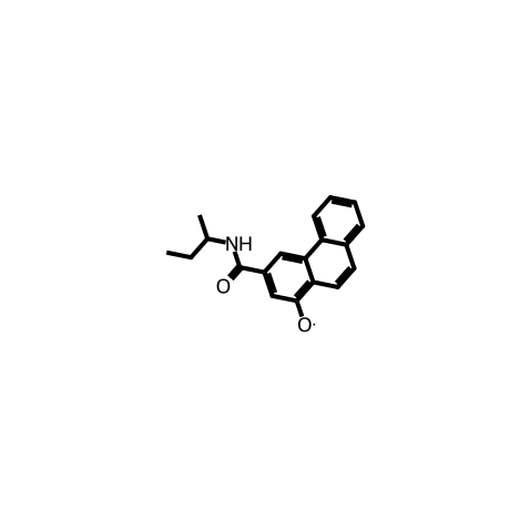 CCC(C)NC(=O)c1cc([O])c2ccc3ccccc3c2c1